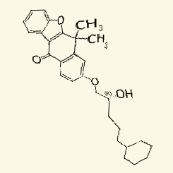 CC1(C)c2cc(OC[C@H](O)CCCC3CCCCC3)ccc2C(=O)c2c1oc1ccccc21